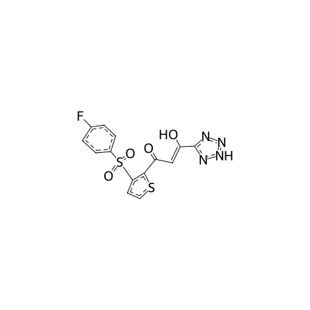 O=C(C=C(O)c1nn[nH]n1)c1sccc1S(=O)(=O)c1ccc(F)cc1